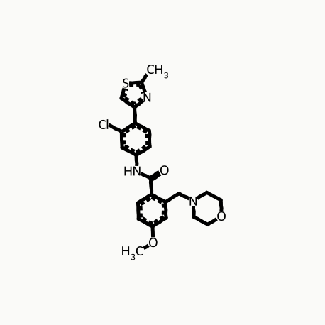 COc1ccc(C(=O)Nc2ccc(-c3csc(C)n3)c(Cl)c2)c(CN2CCOCC2)c1